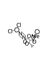 COC(C(=O)N1CCN(c2cc(Cl)cc(Cl)c2)CC1)C(C(=O)OCc1ccccc1)C(=O)C1CC1